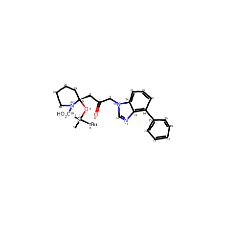 CC(C)(C)[Si](C)(C)O[C@@]1(CC(=O)Cn2cnc3c(-c4ccccc4)cccc32)CCCCN1C(=O)O